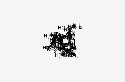 CC(C)C[C@H](NC(=O)[C@H](CCCNC(=N)N)NC(=O)CNC(=O)CNC(=O)[C@@H](N)CCCNC(=N)N)C(=O)N[C@H]1CSSC[C@@H](C(=O)N[C@H](C(=O)NCC(=O)N[C@@H](CCCNC(=N)N)C(=O)O)C(C)C)NC(=O)[C@H](C(C)C)NC(=O)[C@@H]2CSSC[C@H](NC(=O)[C@H](Cc3ccc(O)cc3)NC1=O)C(=O)N[C@@H](CCCNC(=N)N)C(=O)N[C@@H](CCCNC(=N)N)C(=O)N[C@@H](CCCNC(=N)N)C(=O)N[C@@H](Cc1ccccc1)C(=O)N2